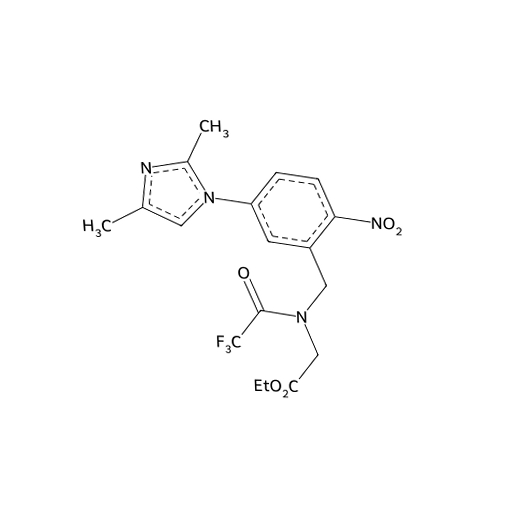 CCOC(=O)CN(Cc1cc(-n2cc(C)nc2C)ccc1[N+](=O)[O-])C(=O)C(F)(F)F